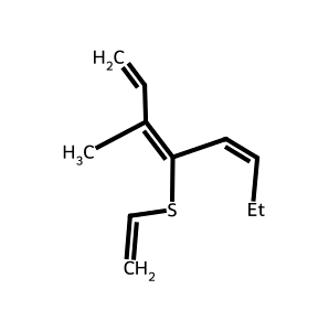 C=CSC(/C=C\CC)=C(\C)C=C